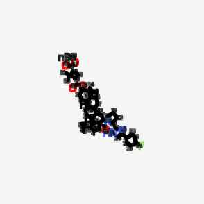 C=C(C)[C@@H]1CC[C@]2(C(=O)N3CCC[C@H]3c3nc(-c4ccc(F)cc4)c[nH]3)CC[C@]3(C)[C@H](CC[C@@H]4[C@@]5(C)CC[C@H](OC(=O)[C@H]6C[C@@H](C(=O)OCCCC)C6(C)C)C(C)(C)[C@@H]5CC[C@]43C)[C@@H]12